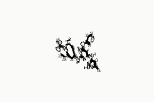 CC[C@@H]1C[C@@H](N(C)c2nc(Nc3cc(C)[nH]n3)cc(O[C@H]3CCOC3)n2)C[C@H](CC)N1C(=O)OC